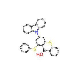 OB1c2ccccc2Sc2cc(-n3c4ccccc4c4ccccc43)cc(Sc3ccccc3)c21